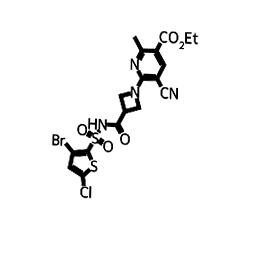 CCOC(=O)c1cc(C#N)c(N2CC(C(=O)NS(=O)(=O)c3sc(Cl)cc3Br)C2)nc1C